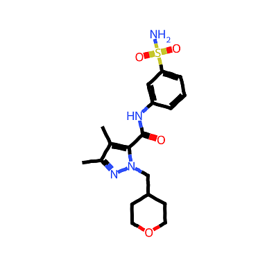 Cc1nn(CC2CCOCC2)c(C(=O)Nc2cccc(S(N)(=O)=O)c2)c1C